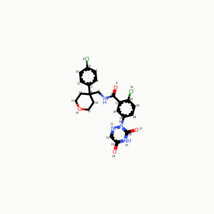 O=C(NCC1(c2ccc(Cl)cc2)CCOCC1)c1cc(-n2ncc(=O)[nH]c2=O)ccc1Cl